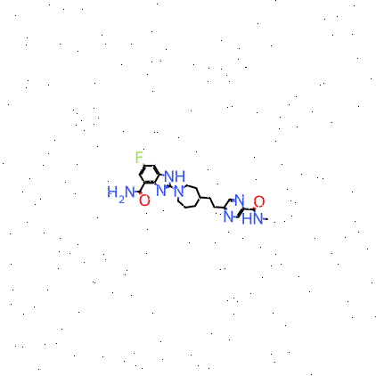 CNC(=O)c1cnc(CCC2CCCN(c3nc4c(C(N)=O)cc(F)cc4[nH]3)CC2)cn1